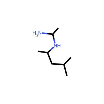 CC(C)CC(C)NC(C)N